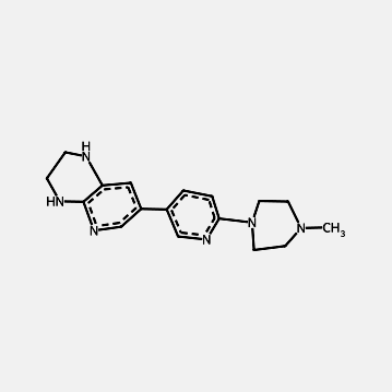 CN1CCN(c2ccc(-c3cnc4c(c3)NCCN4)cn2)CC1